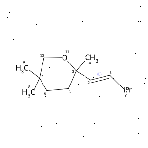 CC(C)/C=C/C1(C)CCC(C)(C)CO1